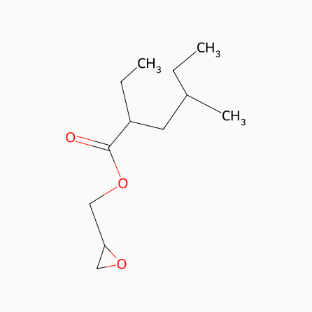 CCC(C)CC(CC)C(=O)OCC1CO1